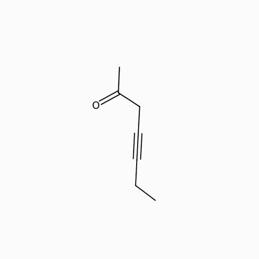 CCC#CCC(C)=O